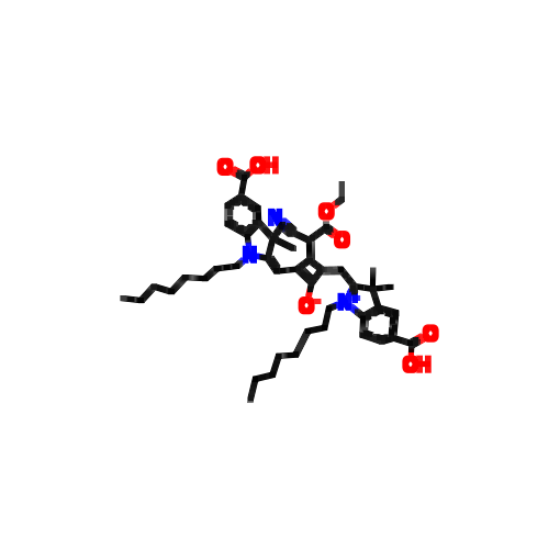 CCCCCCCCN1/C(=C/C2=C([O-])C(=C\C3=[N+](CCCCCCCC)c4ccc(C(=O)O)cc4C3(C)C)/C2=C(/C#N)C(=O)OCC)C(C)(C)c2cc(C(=O)O)ccc21